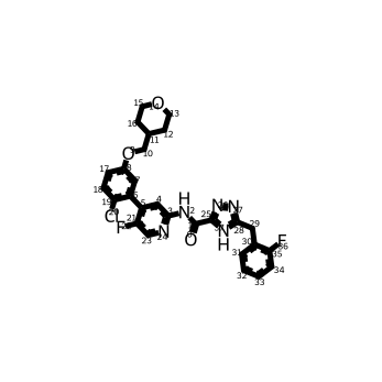 O=C(Nc1cc(-c2cc(OCC3CCOCC3)ccc2Cl)c(F)cn1)c1nnc(Cc2ccccc2F)[nH]1